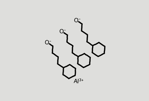 [Al+3].[O-]CCCCC1CCCCC1.[O-]CCCCC1CCCCC1.[O-]CCCCC1CCCCC1